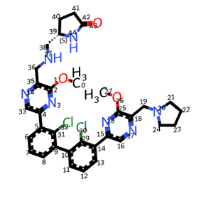 COc1nc(-c2cccc(-c3cccc(-c4cnc(CN5CCCC5)c(OC)n4)c3Cl)c2Cl)cnc1CNC[C@@H]1CCC(=O)N1